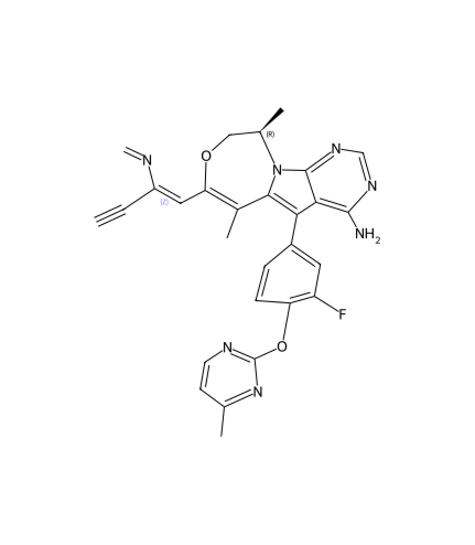 C#C/C(=C/C1=C(C)c2c(-c3ccc(Oc4nccc(C)n4)c(F)c3)c3c(N)ncnc3n2[C@H](C)CO1)N=C